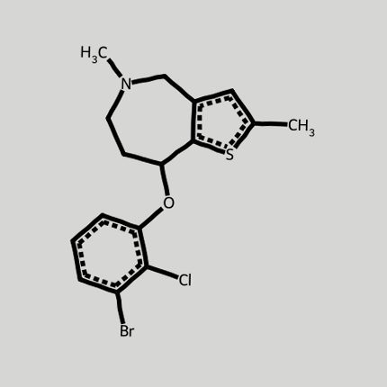 Cc1cc2c(s1)C(Oc1cccc(Br)c1Cl)CCN(C)C2